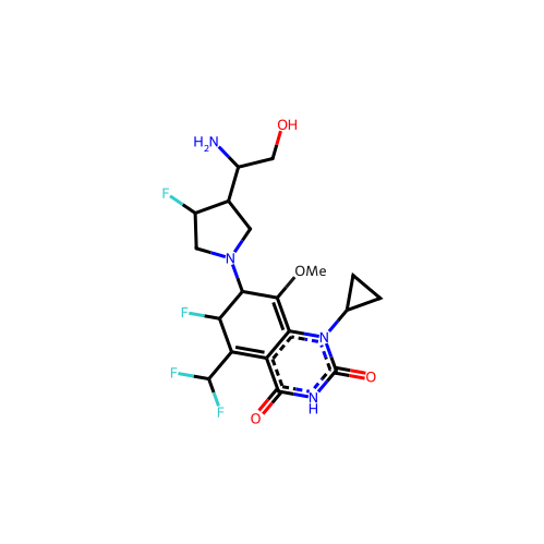 COC1=c2c(c(=O)[nH]c(=O)n2C2CC2)=C(C(F)F)C(F)C1N1CC(F)C(C(N)CO)C1